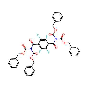 O=C(OCc1ccccc1)N(C(=O)OCc1ccccc1)C(=O)c1c(F)c(F)c(C(=O)N(C(=O)OCc2ccccc2)C(=O)OCc2ccccc2)c(F)c1F